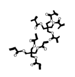 C=C(C)C(=O)OCC(COC(=O)C(=C)C)(COC(=O)C(=C)C)COC(=O)C(=C)C.C=CC(=O)OCC(COC(=O)C=C)(COC(=O)C=C)COC(=O)C=C